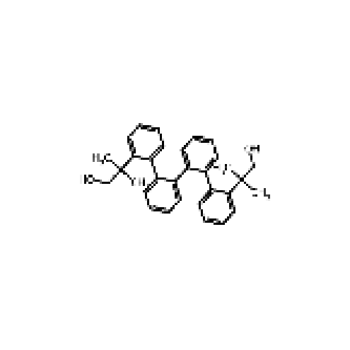 CC(C)(CO)c1ccccc1-c1ccccc1-c1ccccc1-c1ccccc1C(C)(C)CO